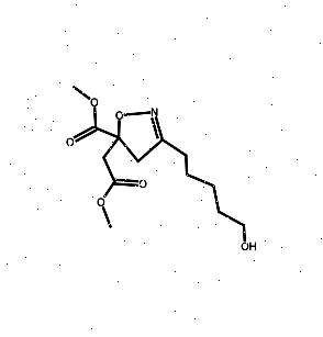 COC(=O)CC1(C(=O)OC)CC(CCCCCO)=NO1